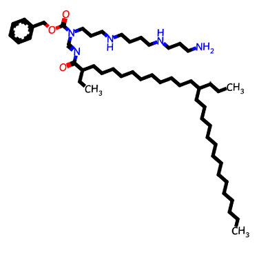 CC[CH]C(CCCCCCCCCCCCCCC)CCCCCCCCCCCC(CC)C(=O)N=CN(CCCNCCCCNCCCN)C(=O)OCc1ccccc1